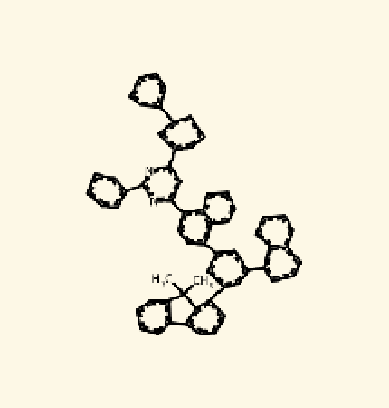 CC1(C)c2ccccc2-c2cccc(-c3cc(-c4cccc5ccccc45)cc(-c4ccc(-c5cc(-c6cccc(-c7ccccc7)c6)nc(-c6ccccc6)n5)c5ccccc45)c3)c21